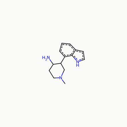 CN1CCC(N)C(c2cccc3cc[nH]c23)C1